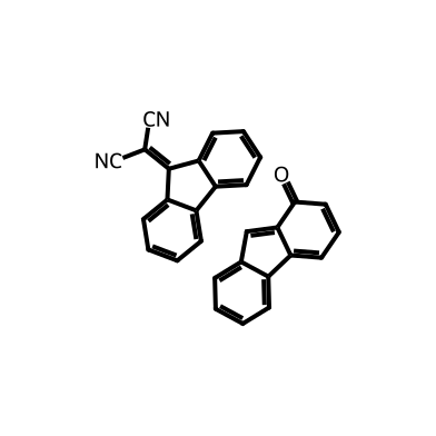 N#CC(C#N)=C1c2ccccc2-c2ccccc21.O=C1C=CC=C2C1=Cc1ccccc12